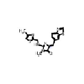 Cc1csc(CNC2=N/C(=C\c3ccc4ncsc4c3)C(=O)N2C)n1